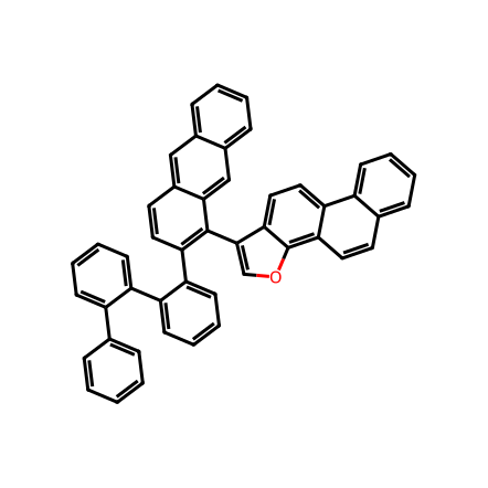 c1ccc(-c2ccccc2-c2ccccc2-c2ccc3cc4ccccc4cc3c2-c2coc3c2ccc2c4ccccc4ccc23)cc1